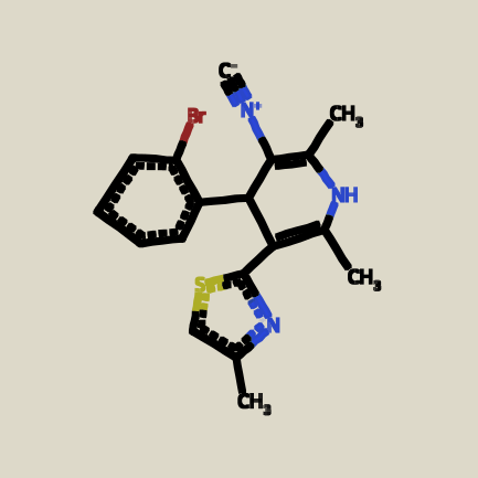 [C-]#[N+]C1=C(C)NC(C)=C(c2nc(C)cs2)C1c1ccccc1Br